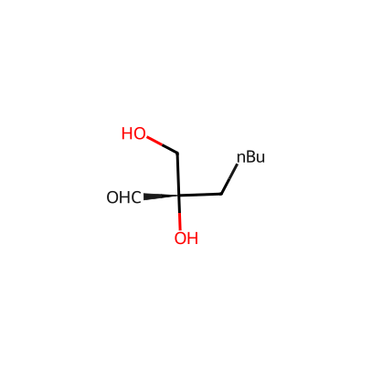 CCCCC[C@@](O)(C=O)CO